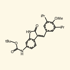 COc1c(C(C)C)cc(C=C2C(=O)Nc3cc(NC(=O)OC(C)(C)C)ccc32)cc1C(C)C